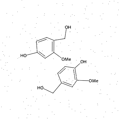 COc1cc(CO)ccc1O.COc1cc(O)ccc1CO